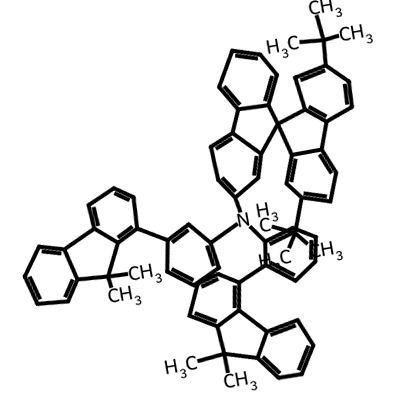 CC(C)(C)c1ccc2c(c1)C1(c3ccccc3-c3ccc(N(c4cccc(-c5cccc6c5C(C)(C)c5ccccc5-6)c4)c4ccccc4-c4cccc5c4-c4ccccc4C5(C)C)cc31)c1cc(C(C)(C)C)ccc1-2